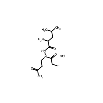 CC(C)CC(N)C(=O)NN(CCC(N)=O)C(=O)CCl.Cl